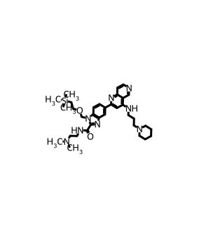 CN(C)CCNC(=O)c1nc2cc(-c3cc(NCCCN4CCCCC4)c4cnccc4n3)ccc2n1COCC[Si](C)(C)C